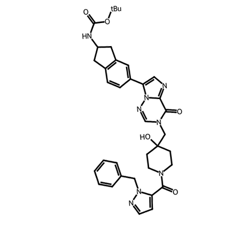 CC(C)(C)OC(=O)NC1Cc2ccc(-c3cnc4c(=O)n(CC5(O)CCN(C(=O)c6ccnn6Cc6ccccc6)CC5)cnn34)cc2C1